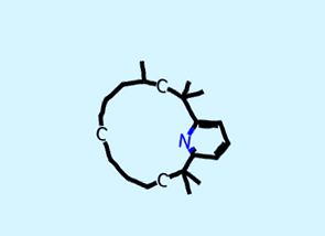 CC1CCCCCCCCC(C)(C)c2cccc(n2)C(C)(C)C1